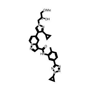 COC[C@@H](O)Cn1cc(-c2ccn3ncc(C(=O)Nc4cc(-c5nnn(C6CC6)n5)ccc4C)c3c2)c(C2CC2)n1